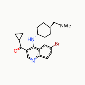 CNC[C@H]1CC[C@H](Nc2c(C(=O)C3CC3)cnc3ccc(Br)cc23)CC1